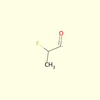 CC(F)[C]=O